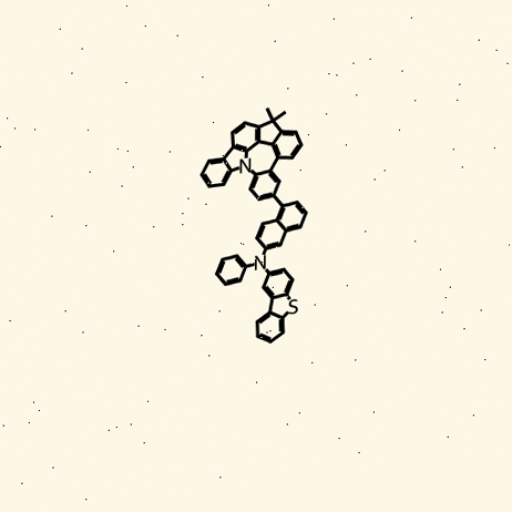 CC1(C)c2cccc3c2-c2c1ccc1c4ccccc4n(c21)-c1ccc(-c2cccc4cc(N(c5ccccc5)c5ccc6sc7ccccc7c6c5)ccc24)cc1-3